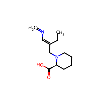 C=N/C=C(\CC)CN1CCCC[C@H]1C(=O)O